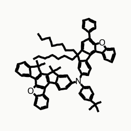 CCCCCCCC1(CCCCCCC)c2cc(N(c3ccc(C(C)(C)C)cc3)c3ccc4c(c3)C(C)(C)c3c5c(c6oc7ccccc7c6c3-4)-c3ccccc3C5(C)C)ccc2-c2c1cc(-c1ccccc1)c1oc3ccccc3c21